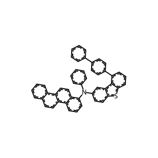 c1ccc(-c2ccc(-c3cccc4sc5ccc(N(c6ccccc6)c6cccc7c6ccc6c8ccccc8ccc76)cc5c34)cc2)cc1